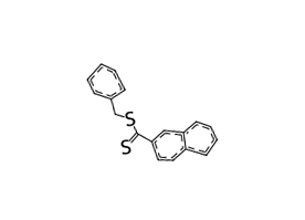 S=C(SCc1ccccc1)c1ccc2ccccc2c1